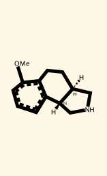 COc1cccc2c1CC[C@H]1CNC[C@H]21